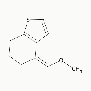 CO/C=C1/CCCc2sccc21